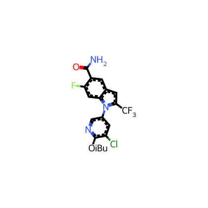 CC(C)COc1ncc(-n2c(C(F)(F)F)cc3cc(C(N)=O)c(F)cc32)cc1Cl